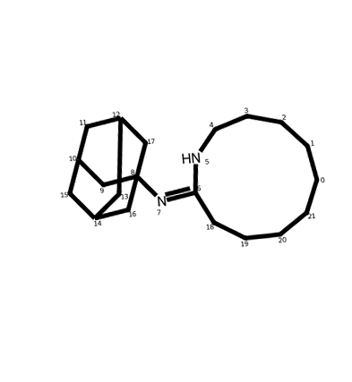 C1CCCCN/C(=N\C23CC4CC(CC(C4)C2)C3)CCCC1